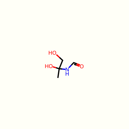 CC(O)(CO)NC=O